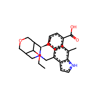 CCOC1C2COCC1[C@@H](c1ccc(C(=O)O)cc1)N(Cc1c(OC)cc(C)c3[nH]ccc13)C2